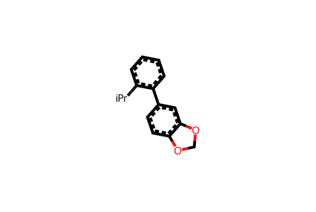 CC(C)c1ccccc1-c1ccc2c(c1)OCO2